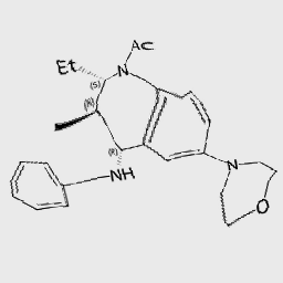 CC[C@H]1[C@H](C)[C@@H](Nc2ccccc2)c2cc(N3CCOCC3)ccc2N1C(C)=O